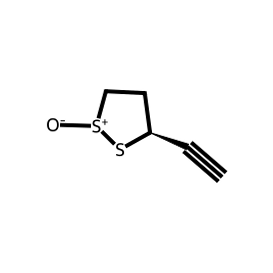 C#C[C@@H]1CC[S+]([O-])S1